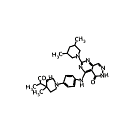 CC1CC(C)CN(c2nc(Nc3ccc(N4CCC(C)(C(C)C(=O)O)CC4)cc3)c3c(=O)[nH]ncc3n2)C1